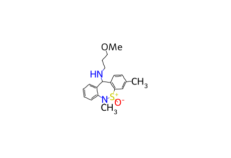 COCCCNC1c2ccccc2N(C)[S+]([O-])c2cc(C)ccc21